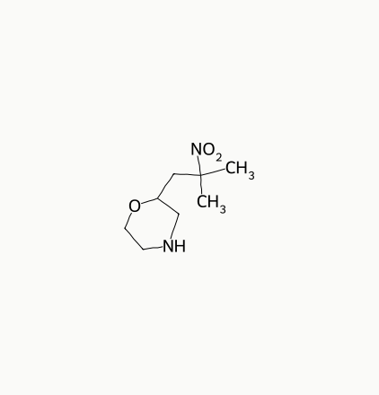 CC(C)(CC1CNCCO1)[N+](=O)[O-]